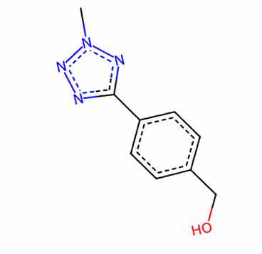 Cn1nnc(-c2ccc(CO)cc2)n1